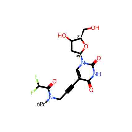 CCCN(CC#Cc1cn([C@H]2CC(O)[C@@H](CO)O2)c(=O)[nH]c1=O)C(=O)C(F)F